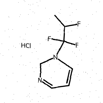 CC(F)C(F)(F)N1C=CC=NC1.Cl